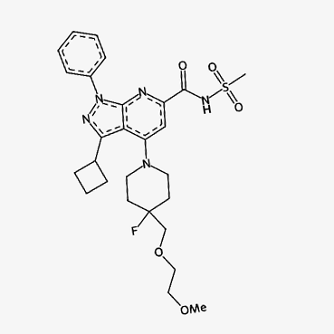 COCCOCC1(F)CCN(c2cc(C(=O)NS(C)(=O)=O)nc3c2c(C2CCC2)nn3-c2ccccc2)CC1